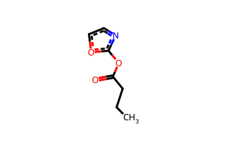 CCCC(=O)Oc1ncco1